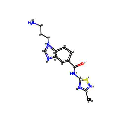 Cc1nsc(NC(=O)c2ccc3c(c2)ncn3CCCN)n1